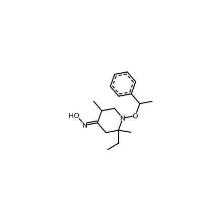 CCC1(C)C/C(=N/O)C(C)CN1OC(C)c1ccccc1